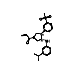 C=CC(=O)N1C[C@@H](Nc2cccc(C(C)C)c2)[C@H](c2cccc(S(C)(=O)=O)c2)C1